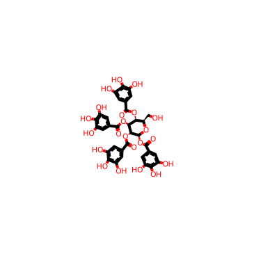 O=C(O[C@@H]1O[C@H](CO)[C@@H](OC(=O)c2cc(O)c(O)c(O)c2)[C@H](OC(=O)c2cc(O)c(O)c(O)c2)[C@H]1OC(=O)c1cc(O)c(O)c(O)c1)c1cc(O)c(O)c(O)c1